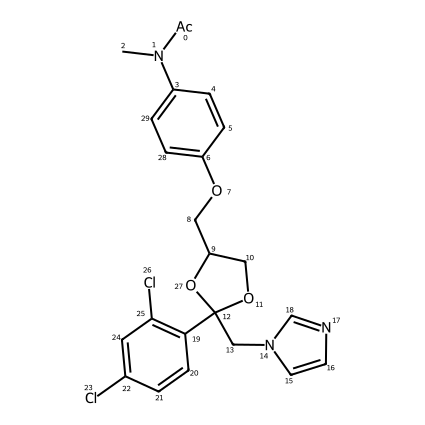 CC(=O)N(C)c1ccc(OCC2COC(Cn3ccnc3)(c3ccc(Cl)cc3Cl)O2)cc1